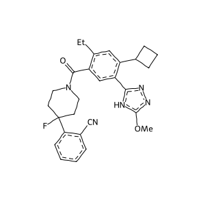 CCc1cc(C2CCC2)c(-c2nnc(OC)[nH]2)cc1C(=O)N1CCC(F)(c2ccccc2C#N)CC1